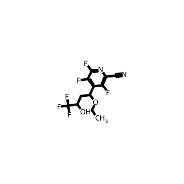 CCOC(CC(O)C(F)(F)F)c1c(F)c(F)nc(C#N)c1F